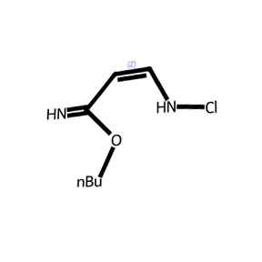 CCCCOC(=N)/C=C\NCl